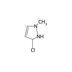 CN1[C]=CC(Cl)N1